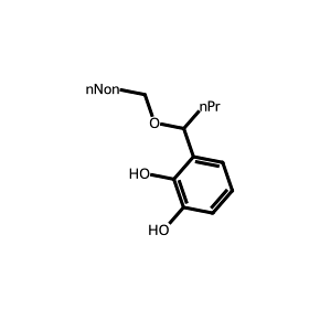 CCCCCCCCCCOC(CCC)c1cccc(O)c1O